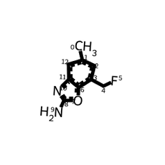 Cc1cc(CF)c2oc(N)nc2c1